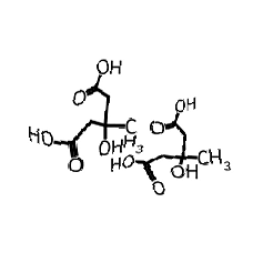 CC(O)(CC(=O)O)CC(=O)O.CC(O)(CC(=O)O)CC(=O)O